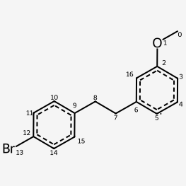 COc1cc[c]c(CCc2ccc(Br)cc2)c1